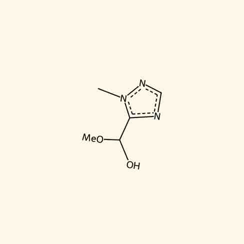 COC(O)c1ncnn1C